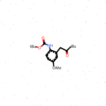 CCC(C)C(=O)Cc1cc(OC)ccc1NC(=O)OC(C)(C)C